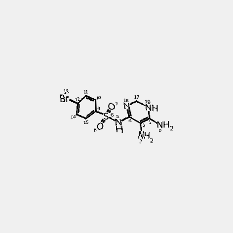 NC1=C(N)C(NS(=O)(=O)c2ccc(Br)cc2)=NCN1